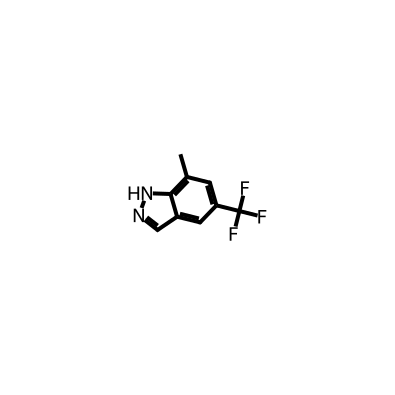 Cc1cc(C(F)(F)F)cc2cn[nH]c12